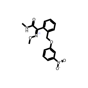 CNC(=O)/C(=N\OC)c1ccccc1COc1cccc([N+](=O)[O-])c1